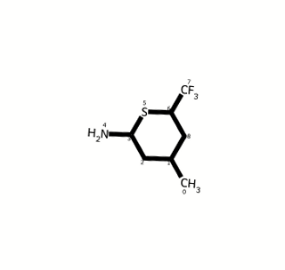 CC1CC(N)SC(C(F)(F)F)C1